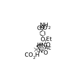 CCC(Oc1ccc(S(N)(=O)=O)cc1)C(=O)N[C@@]1(C(C)=O)C(=O)N2[C@@H](C(=O)O)C(C)(C)S[C@@H]21